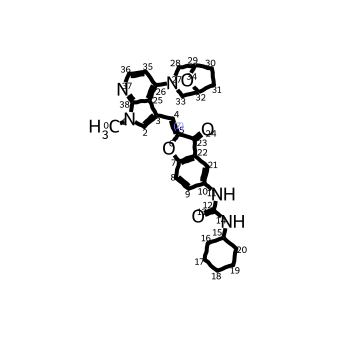 Cn1cc(/C=C2\Oc3ccc(NC(=O)NC4CCCCC4)cc3C2=O)c2c(N3CC4CCC(C3)O4)ccnc21